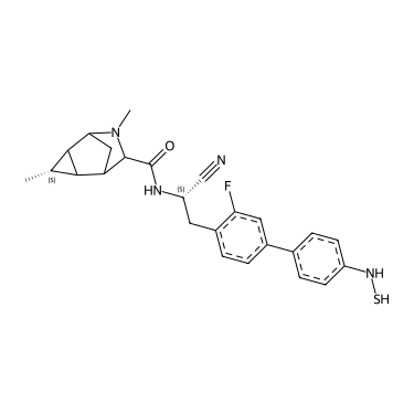 C[C@H]1C2C3CC(C21)N(C)C3C(=O)N[C@H](C#N)Cc1ccc(-c2ccc(NS)cc2)cc1F